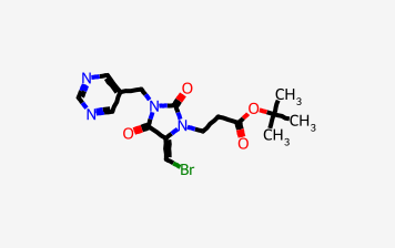 CC(C)(C)OC(=O)CCN1C(=O)N(Cc2cncnc2)C(=O)/C1=C/Br